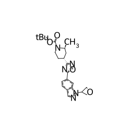 C[C@H]1C[C@H](c2noc(-c3ccc4cnn(C5COC5)c4c3)n2)CCN1C(=O)OC(C)(C)C